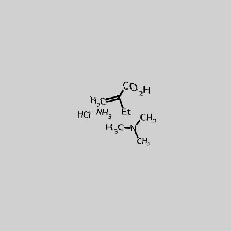 C=C(CC)C(=O)O.CN(C)C.Cl.N